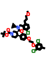 COCCCc1ccc(Cl)cc1CN(C(=O)[C@H]1CN(C(=O)OC(C)(C)C)CC[C@@H]1c1ccc(OCCOc2c(Cl)cc(C)cc2Cl)cc1)C1CC1